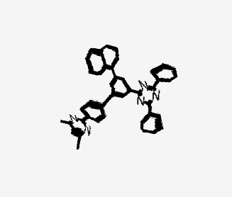 Cc1cc(C)nc(-c2ccc(-c3cc(-c4nc(-c5ccccc5)nc(-c5ccccc5)n4)cc(-c4cccc5ccccc45)c3)cc2)n1